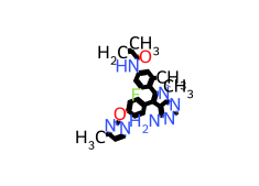 C=C(C)C(=O)Nc1cc(C)c(-c2c(-c3ccc(Oc4nccc(C)n4)cc3)c3c(N)ncnc3n2C)c(F)c1